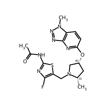 CC(=O)Nc1nc(F)c(CN2C[C@H](Oc3ccc4c(nnn4C)n3)C[C@@H]2C)s1